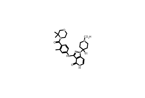 CCC1(n2nc(Nc3ccc(C(=O)N4CCOCC4(C)C)c(C)c3)c3c(=O)[nH]ccc32)CCN(C(=O)O)CC1